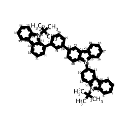 CC(C)(C)n1c2ccccc2c2cc(-n3c4ccccc4c4cc(-c5cccc(-c6cccc7c8ccccc8n(C(C)(C)C)c67)c5)ccc43)ccc21